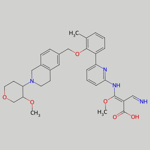 CO/C(Nc1cccc(-c2cccc(C)c2OCc2ccc3c(c2)CCN(C2CCOCC2OC)C3)n1)=C(/C=N)C(=O)O